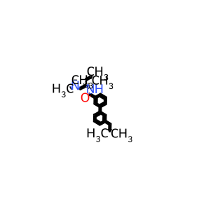 CC(C)Cc1cccc(-c2cccc(C(=O)N[C@@H](CC(C)C)CN(C)C)c2)c1